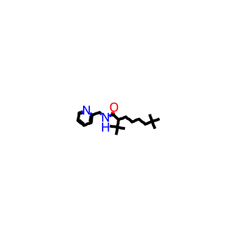 CC(C)(C)CCCCC(C(=O)NCc1ccccn1)C(C)(C)C